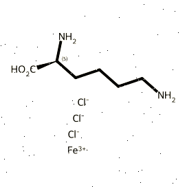 NCCCC[C@H](N)C(=O)O.[Cl-].[Cl-].[Cl-].[Fe+3]